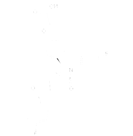 O=C(O)COc1ccc([C@@H]2[C@@H](CCC(=O)c3ccc(F)cc3)C(=O)N2c2ccc(F)cc2)cc1